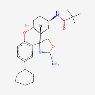 CC(C)(C)C(=O)N[C@@H]1CC[C@@H]2Oc3ccc(C4CCCCC4)cc3C3(COC(N)=N3)[C@H]2C1